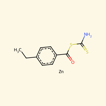 CCc1ccc(C(=O)SC(N)=S)cc1.[Zn]